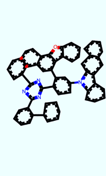 c1ccc(-c2nc(-c3ccccc3-c3ccccc3)nc(-c3ccc(-n4c5ccccc5c5cc6ccccc6cc54)cc3-c3cc4ccccc4c4oc5ccccc5c34)n2)cc1